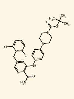 CC(C)(C)OC(=O)N1CCN(c2ccc(Nc3cc(Cc4c(Cl)cccc4Cl)cnc3C(N)=O)cc2)CC1